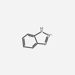 c1ccc2c(c1)P=[N+]P2